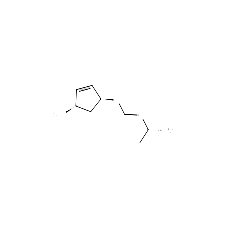 CO[C@H](C)OCO[C@@H]1C=C[C@H](OC(C)=O)C1